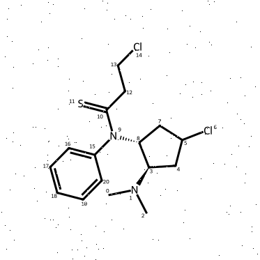 CN(C)[C@@H]1CC(Cl)C[C@H]1N(C(=S)CCCl)c1ccccc1